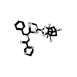 CC(C)C[C@H](NC(=O)[C@@H](CC(=O)c1cnccn1)Cc1ccccc1)B1O[C@@H]2C[C@@H]3C[C@@H](C3(C)C)[C@]2(C)O1